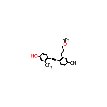 CCCOCCCc1cc(C#N)ccc1C#Cc1ccc(O)cc1C(F)(F)F